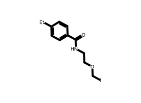 CCc1ccc(C(=O)NCCOCI)cc1